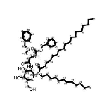 CCCCCCCCCCCCCCCCCC(=O)N(CCCCCCCCCCCC)[C@@H]1O[C@H](CO)[C@@H](O)[C@H](O)[C@H]1NC(=O)[C@H](COCc1ccccc1)NC(=O)OCc1ccccc1